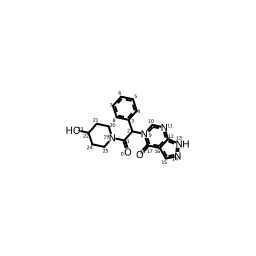 O=C(C(c1ccccc1)n1cnc2[nH]ncc2c1=O)N1CCC(O)CC1